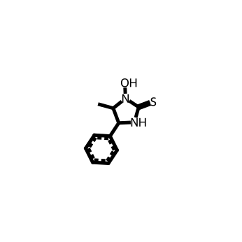 CC1C(c2ccccc2)NC(=S)N1O